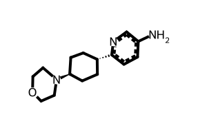 Nc1ccc([C@H]2CC[C@H](N3CCOCC3)CC2)nc1